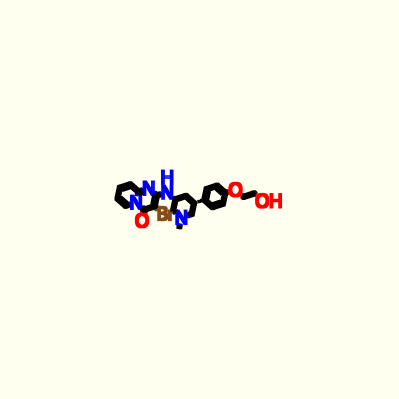 CN1C[C@H](Nc2nc3ccccn3c(=O)c2Br)C[C@H](c2ccc(OCCO)cc2)C1